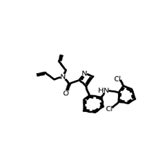 C=CCN(CC=C)C(=O)C1=NC=C1c1ccccc1Nc1c(Cl)cccc1Cl